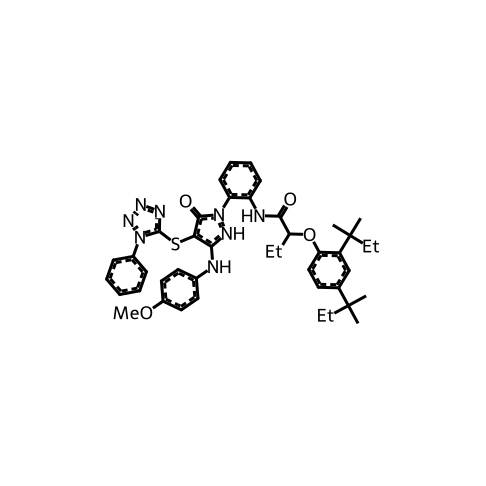 CCC(Oc1ccc(C(C)(C)CC)cc1C(C)(C)CC)C(=O)Nc1ccccc1-n1[nH]c(Nc2ccc(OC)cc2)c(Sc2nnnn2-c2ccccc2)c1=O